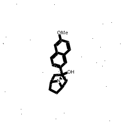 COc1ccc2cc(C3(O)CC4CCC(C3)N4C)ccc2c1